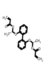 C=CC(=O)O[C@@H](C)Oc1ccccc1-c1ccccc1O[C@H](C)OC(=O)C=C